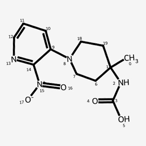 CC1(NC(=O)O)CCN(c2cccnc2[N+](=O)[O-])CC1